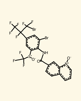 O=C(Nc1c(Br)cc(C(F)(C(F)(F)F)C(F)(F)Br)cc1[S+]([O-])C(F)(F)F)c1ccc2ccc[n+]([O-])c2c1